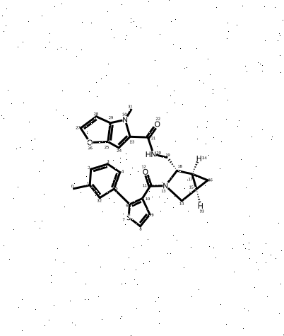 Cc1cccc(-c2sccc2C(=O)N2C[C@@H]3C[C@@H]3[C@H]2CNC(=O)c2cc3occc3n2C)c1